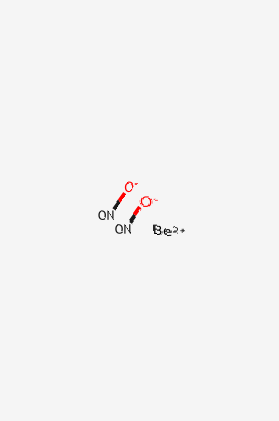 O=N[O-].O=N[O-].[Be+2]